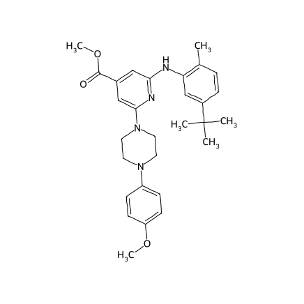 COC(=O)c1cc(Nc2cc(C(C)(C)C)ccc2C)nc(N2CCN(c3ccc(OC)cc3)CC2)c1